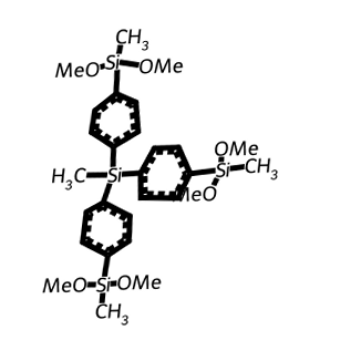 CO[Si](C)(OC)c1ccc([Si](C)(c2ccc([Si](C)(OC)OC)cc2)c2ccc([Si](C)(OC)OC)cc2)cc1